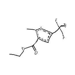 CCOC(=O)c1cc(C(F)(F)F)sc1C